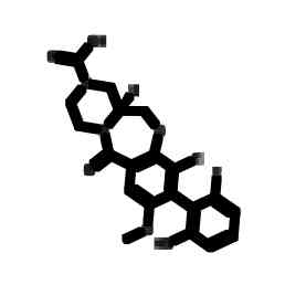 COc1cc2c(c(Cl)c1-c1c(O)cccc1F)OC[C@H]1CN(C(=O)O)CCN1C2=O